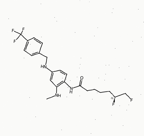 CNc1cc(NCc2ccc(C(F)(F)F)cc2)ccc1NC(=O)CCCC[C@H](F)CF